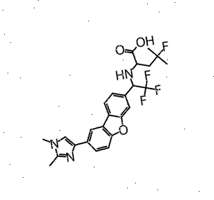 Cc1nc(-c2ccc3oc4cc(C(NC(CC(C)(C)F)C(=O)O)C(F)(F)F)ccc4c3c2)cn1C